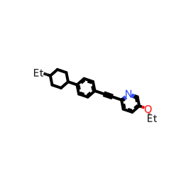 CCOc1ccc(C#Cc2ccc(C3CCC(CC)CC3)cc2)nc1